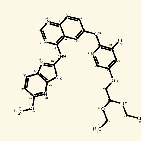 CCOC(COc1cnc(Oc2ccc3ncnc(Nc4nc5ccc(OC)nc5s4)c3c2)c(Cl)c1)OCC